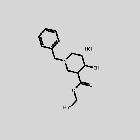 CCOC(=O)C1CN(Cc2ccccc2)CCC1C.Cl